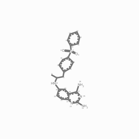 CC(Cc1ccc(S(=O)(=O)c2ccccc2)cc1)Nc1ccc2nc(N)nc(N)c2c1